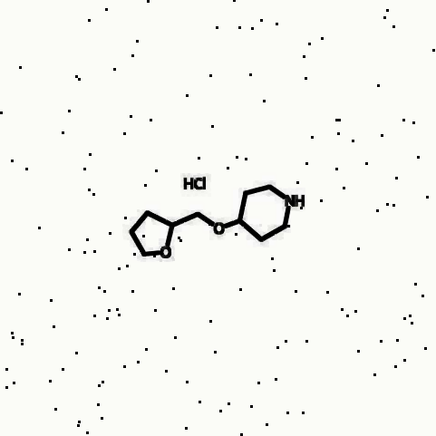 C1COC(COC2CCNCC2)C1.Cl